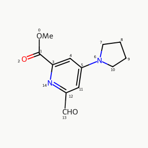 COC(=O)c1cc(N2CCCC2)cc(C=O)n1